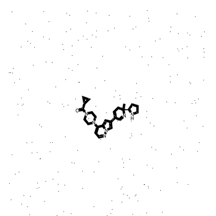 CC1([C@H]2CCCN2)CC=C(c2cc3c(N4CCN(C(=O)C5CC5)CC4)ccnn3c2)C=N1